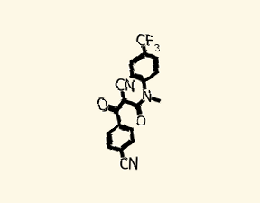 CN(C(=O)C(C#N)C(=O)c1ccc(C#N)cc1)c1ccc(C(F)(F)F)cc1